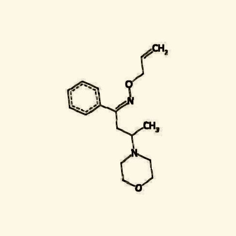 C=CCON=C(CC(C)N1CCOCC1)c1ccccc1